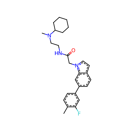 Cc1ccc(-c2ccc3ccn(CC(=O)NCCN(C)C4CCCCC4)c3c2)cc1F